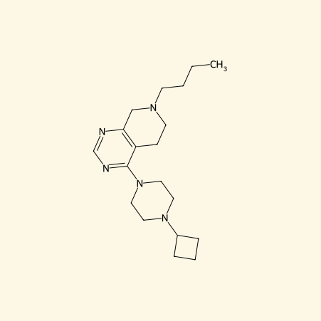 CCCCN1CCc2c(ncnc2N2CCN(C3CCC3)CC2)C1